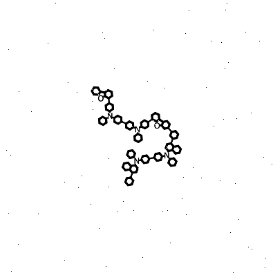 c1ccc(-c2ccc(N(c3ccccc3)c3ccc(-c4ccc(N(c5ccccc5)c5ccc(-c6cccc(-c7ccc8c(c7)oc7c(-c9ccc(N(c%10ccccc%10)c%10ccc(-c%11ccc(N(c%12ccccc%12)c%12ccc(-c%13cccc%14c%13oc%13ccccc%13%14)cc%12)cc%11)cc%10)cc9)cccc78)c6)c6ccccc56)cc4)cc3)c3ccccc23)cc1